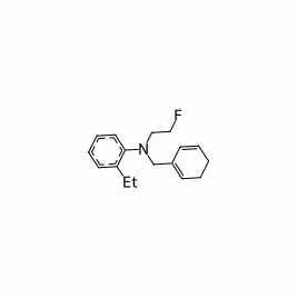 CCc1ccccc1N(CCF)CC1=CCCC=C1